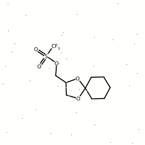 O=S(=O)(OCC1COC2(CCCCC2)O1)C(F)(F)F